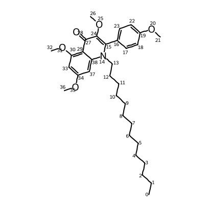 CCCCCCCCCCCCCCn1c(-c2ccc(OC)cc2)c(OC)c(=O)c2c(OC)cc(OC)cc21